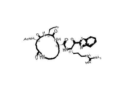 CC(=O)N[C@H]1CCC(=O)NCCCC[C@@H](C(=O)N[C@@H](CCCNC(=N)N)C(=O)c2nc3ccccc3s2)NC(=O)[C@H](CC(C)C)NC1=O